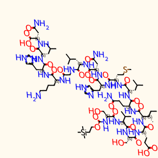 CC[C@H](C)[C@H](NC(=O)[C@H](CCC(=O)O)NC(=O)[C@H](CO)NC(=O)[C@@H](NC(=O)[C@H](CO)NC(=O)OCC[Si](C)(C)C)C(C)C)C(=O)N[C@@H](CCC(N)=O)C(=O)N[C@@H](CC(C)C)C(=O)N[C@@H](CCSC)C(=O)N[C@@H](Cc1c[nH]cn1)C(=O)N[C@@H](CC(N)=O)C(=O)N[C@@H](CC(C)C)C(=O)NCC(=O)N[C@@H](CCCCN)C(=O)N[C@@H](Cc1c[nH]cn1)C(=O)N[C@@H](CC(C)C)C(=O)N[C@@H](CC(N)=O)C(=O)O